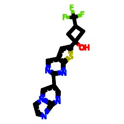 OC1(c2cc3cnc(-c4cnc5nccn5c4)nc3s2)CC(C(F)(F)F)C1